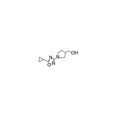 OCC1CCN(c2noc(C3CC3)n2)CC1